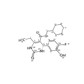 CCC1=C(C(=O)OCC2CCCCC2)C(c2ccc(F)c(O)c2)NC(=O)N1